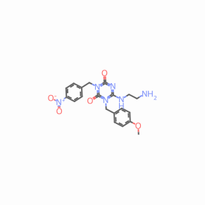 COc1ccc(Cn2c(NCCN)nc(=O)n(Cc3ccc([N+](=O)[O-])cc3)c2=O)cc1